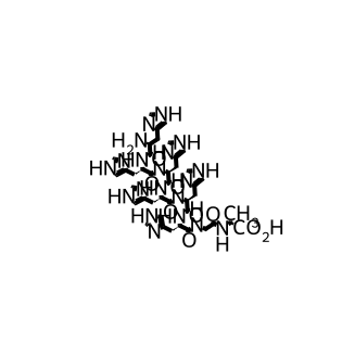 C[C@H](NC(=O)CNC(=O)[C@H](Cc1c[nH]cn1)NC(=O)[C@H](Cc1c[nH]cn1)NC(=O)[C@H](Cc1c[nH]cn1)NC(=O)[C@H](Cc1c[nH]cn1)NC(=O)[C@H](Cc1c[nH]cn1)NC(=O)[C@@H](N)Cc1c[nH]cn1)C(=O)O